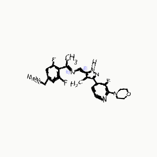 C=c1c(-c2ccnc(N3CCOCC3)c2F)n[nH]/c1=C/N=C(\C)c1c(F)cc(CNC)cc1F